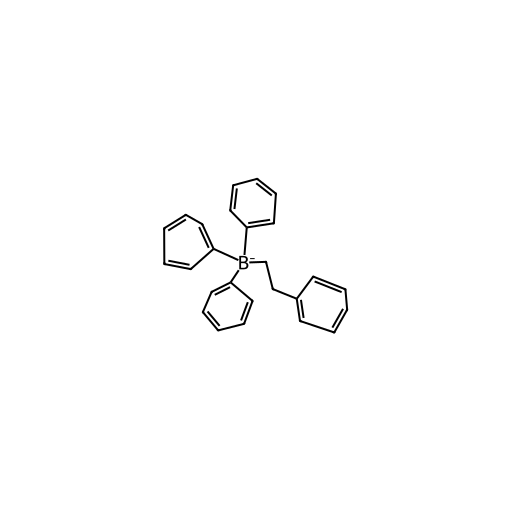 c1ccc(CC[B-](c2ccccc2)(c2ccccc2)c2ccccc2)cc1